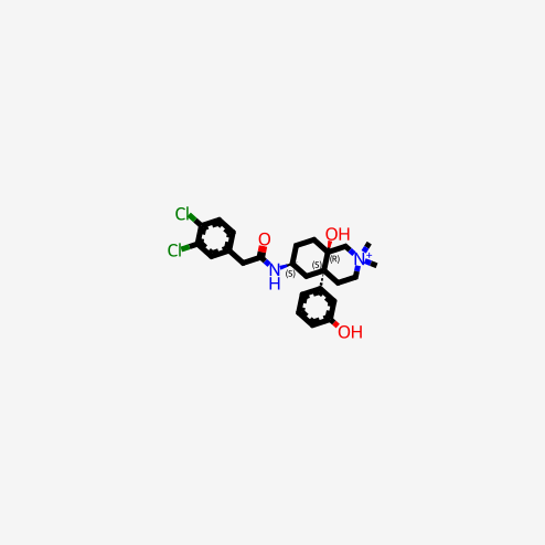 C[N+]1(C)CC[C@@]2(c3cccc(O)c3)C[C@@H](NC(=O)Cc3ccc(Cl)c(Cl)c3)CC[C@]2(O)C1